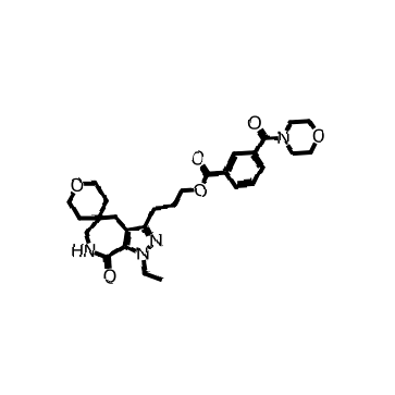 CCn1nc(CCCOC(=O)c2cccc(C(=O)N3CCOCC3)c2)c2c1C(=O)NCC1(CCOCC1)C2